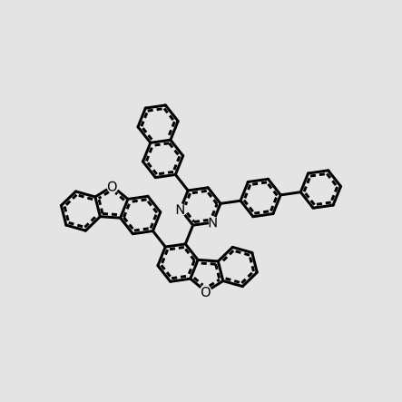 c1ccc(-c2ccc(-c3cc(-c4ccc5ccccc5c4)nc(-c4c(-c5ccc6oc7ccccc7c6c5)ccc5oc6ccccc6c45)n3)cc2)cc1